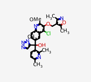 COc1nc2ccc(C(O)(c3ccc(C)nc3C)c3cnnn3C)cc2c(Cl)c1OCc1c(C)noc1C